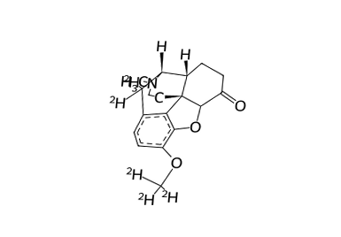 [2H]C([2H])([2H])Oc1ccc2c3c1OC1C(=O)CC[C@H]4[C@H](N(C)CC[C@]314)C2([2H])[2H]